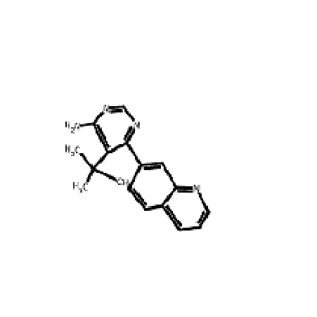 CC(C)(C)c1c(N)ncnc1-c1ccc2cccnc2c1